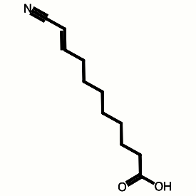 N#CC=CCCCCCCCC(=O)O